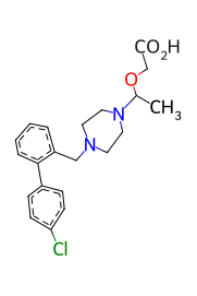 CC(OCC(=O)O)N1CCN(Cc2ccccc2-c2ccc(Cl)cc2)CC1